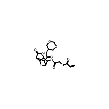 C=CC(=O)OCC(=O)OC1C2OC(=O)C3C2OC1C3C(=O)OC1COCOC1